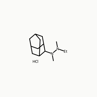 CCN(C)N(C)C1C2CC3CC(C2)CC1C3.Cl